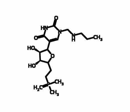 C=P(C)(C)CCC1OC(c2cn(CNCCC)c(=O)[nH]c2=O)[C@H](O)[C@@H]1O